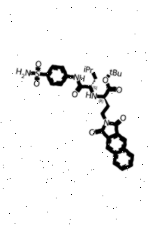 CC(C)C[C@H](N[C@H](CCN1C(=O)c2cc3ccccc3cc2C1=O)C(=O)OC(C)(C)C)C(=O)Nc1ccc(S(N)(=O)=O)cc1